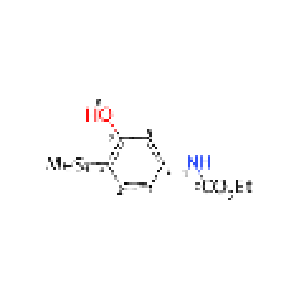 CCOC(=O)Nc1ccc(SC)c(O)c1